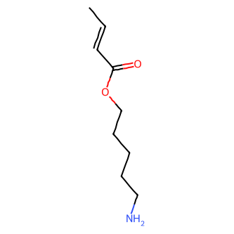 C/C=C/C(=O)OCCCCCN